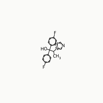 CC(n1cncn1)C(O)(c1ccc(F)cc1)c1ccc(F)cc1